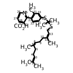 CC(C)=CCCC(C)=CCCC(C)=CCSC(C)(C)Sc1ccc(-c2ncccc2C(=O)O)c(C)c1